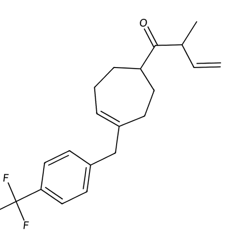 C=CC(C)C(=O)C1CCC=C(Cc2ccc(C(F)(F)F)cc2)CC1